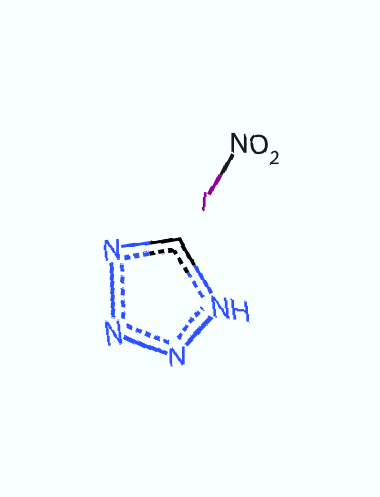 O=[N+]([O-])I.c1nnn[nH]1